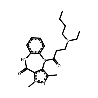 CCCCN(CC)CCC(=O)N1c2ccccc2NC(=O)c2c1c(C)nn2C